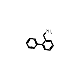 PCc1ccccc1-c1ccccc1